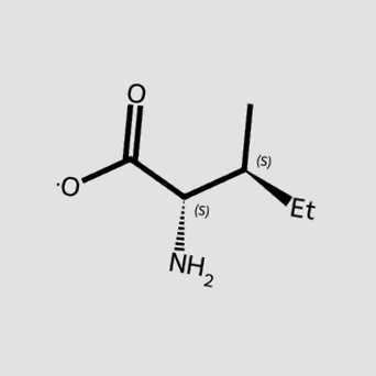 CC[C@H](C)[C@H](N)C([O])=O